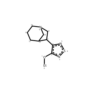 CCOc1nsnc1C1CN2CCCC1C2